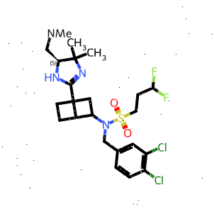 CNC[C@@H]1NC(C23CCC2C(N(Cc2ccc(Cl)c(Cl)c2)S(=O)(=O)CCC(F)F)C3)=NC1(C)C